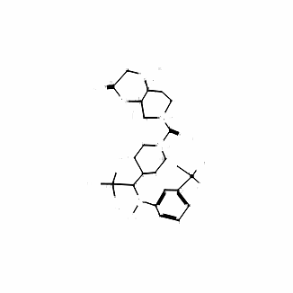 CN(c1cccc(C(F)(F)F)c1)C(C1CCN(C(=O)N2CC[C@@H]3OCC(=O)N[C@@H]3C2)CC1)C(F)(F)F